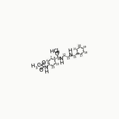 CS(=O)(=O)Nc1ccc(C(=O)NCCNCc2ccccc2)cc1.Cl